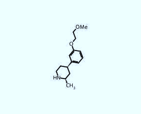 COCCOc1cccc([C@@H]2CCN[C@H](C)C2)c1